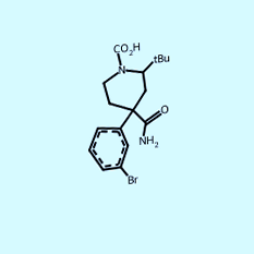 CC(C)(C)C1CC(C(N)=O)(c2cccc(Br)c2)CCN1C(=O)O